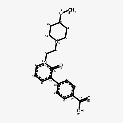 COC1CCN(CCn2cccc(-c3ccc(C(=O)O)cc3)c2=O)CC1